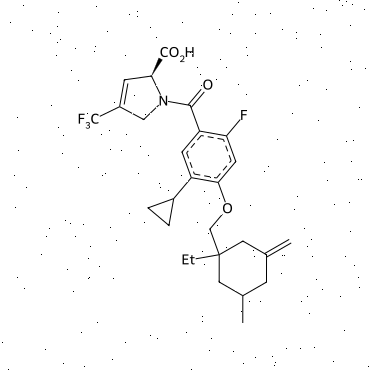 C=C1CC(C)CC(CC)(COc2cc(F)c(C(=O)N3CC(C(F)(F)F)=C[C@H]3C(=O)O)cc2C2CC2)C1